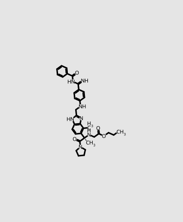 CCCOC(=O)CN[C@@](C)(C(=O)N1CCCC1)c1ccc2[nH]c(CNc3ccc(C(=N)NC(=O)c4ccccc4)cc3)nc2c1C